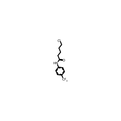 O=C(CCCCCl)Nc1ccc(C(F)(F)F)cc1